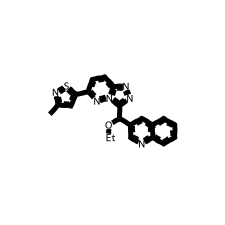 CCOC(c1cnc2ccccc2c1)c1nnc2ccc(-c3cc(C)ns3)nn12